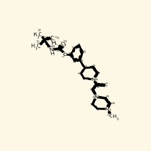 CN1CCN(CC(=O)N2CCC(c3cccc(OC(=O)NC(C)(C)C)c3)CC2)CC1